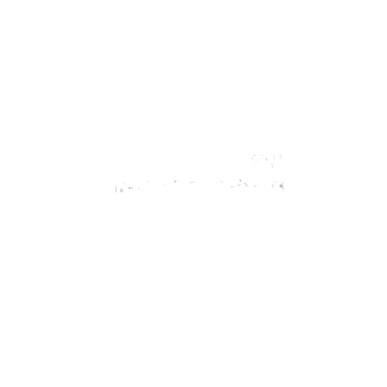 CCCCCCCCCCCCCCCCCCN(CCO)CS(=O)(=O)O